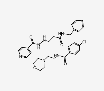 O=C(CCNNC(=O)c1ccncc1)NCc1ccccc1.O=C(NCCN1CCOCC1)c1ccc(Cl)cc1